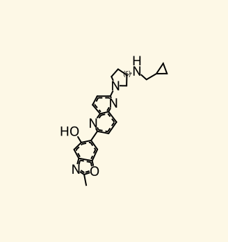 Cc1nc2cc(O)c(-c3ccc4nc(N5CC[C@H](NCC6CC6)C5)ccc4n3)cc2o1